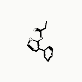 CCC(=O)Oc1occc1-c1ccccc1